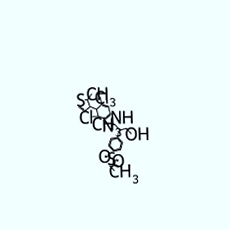 CCS(=O)(=O)c1ccc(C(CO)c2nc3c([nH]2)C=C(Cl)C(C2C=CSC2C)C3(C)Cl)cc1